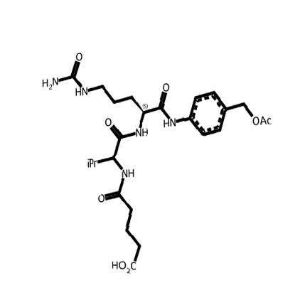 CC(=O)OCc1ccc(NC(=O)[C@H](CCCNC(N)=O)NC(=O)C(NC(=O)CCCC(=O)O)C(C)C)cc1